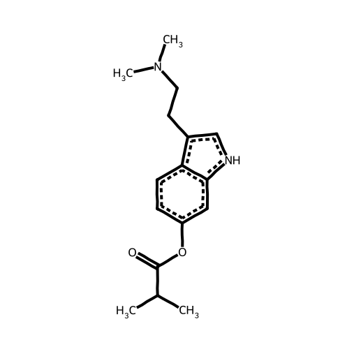 CC(C)C(=O)Oc1ccc2c(CCN(C)C)c[nH]c2c1